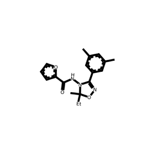 CCC1(C)ON=C(c2cc(C)cc(C)c2)N1NC(=O)c1ccco1